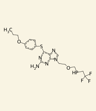 CCCOc1ccc(Sc2nc(N)nc3c2ncn3CCOCPCC(F)(F)F)cc1